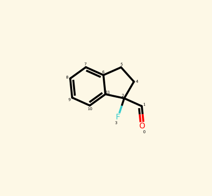 O=CC1(F)CCc2ccccc21